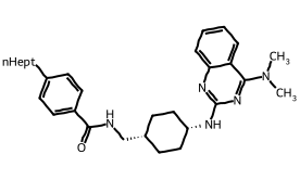 CCCCCCCc1ccc(C(=O)NC[C@H]2CC[C@@H](Nc3nc(N(C)C)c4ccccc4n3)CC2)cc1